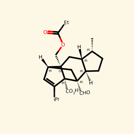 CCC(=O)OC[C@@]12C[C@@H]3[C@H](C)CC[C@H]3[C@]3(C=O)C[C@@H]1C=C(C(C)C)[C@@]23C(=O)O